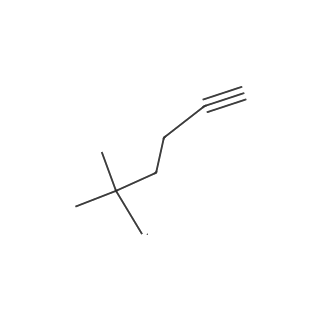 C#CCCC([CH2])(C)C